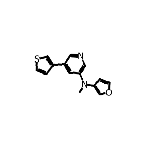 CN(c1ccoc1)c1cncc(-c2ccsc2)c1